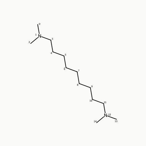 CN(C)CCC[CH]CCCCCN(C)C